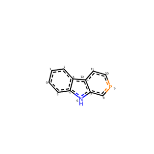 c1ccc2c(c1)[nH]c1cpccc12